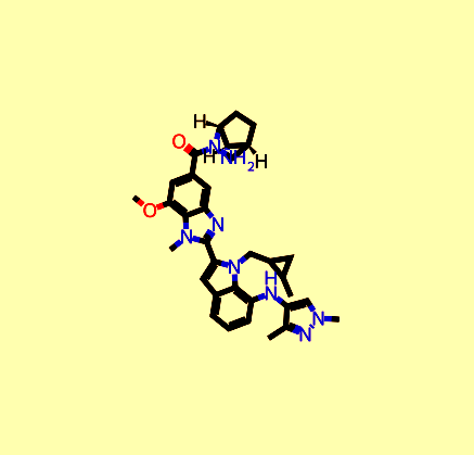 COc1cc(C(=O)N2C[C@H]3CC[C@@H]2[C@@H]3N)cc2nc(-c3cc4cccc(Nc5cn(C)nc5C)c4n3CC3CC3C)n(C)c12